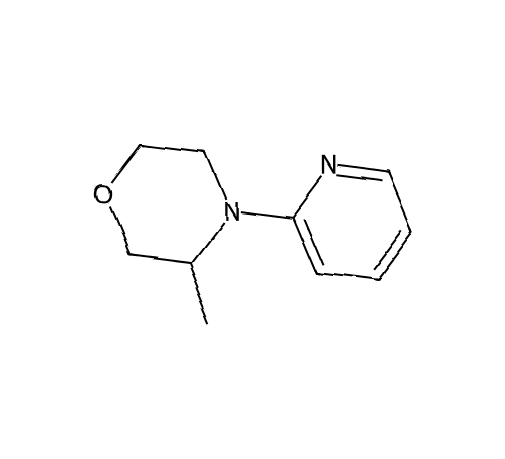 CC1COCCN1c1ccccn1